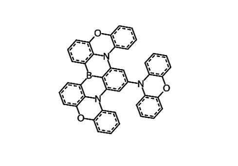 c1ccc2c(c1)Oc1ccccc1N2c1cc2c3c(c1)N1c4ccccc4Oc4cccc(c41)B3c1cccc3c1N2c1ccccc1O3